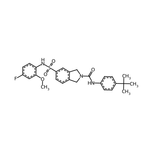 COc1cc(F)ccc1NS(=O)(=O)c1ccc2c(c1)CN(C(=O)Nc1ccc(C(C)(C)C)cc1)C2